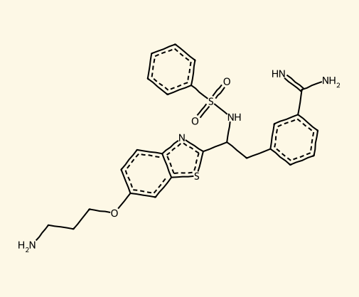 N=C(N)c1cccc(CC(NS(=O)(=O)c2ccccc2)c2nc3ccc(OCCCN)cc3s2)c1